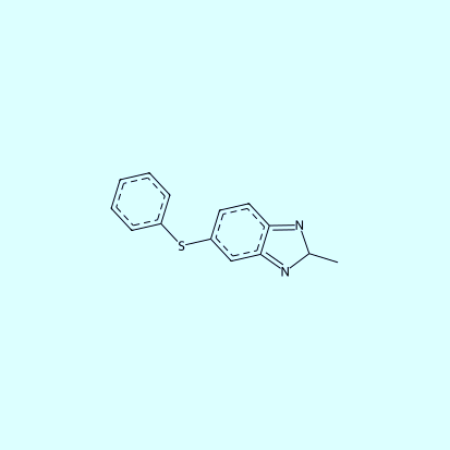 CC1N=c2ccc(Sc3ccccc3)cc2=N1